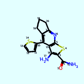 NC(=O)c1sc2nc3c(c(-c4cccs4)c2c1N)CCC3